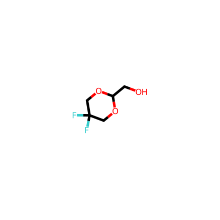 OCC1OCC(F)(F)CO1